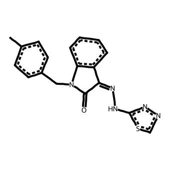 Cc1ccc(CN2C(=O)C(=NNc3nncs3)c3ccccc32)cc1